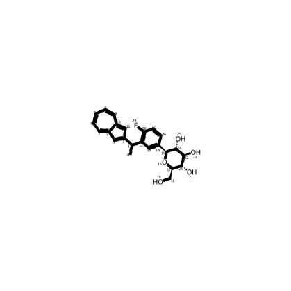 CC(c1cc2cccccc-2c1)c1cc([C@@H]2O[C@H](CO)[C@@H](O)[C@H](O)[C@H]2O)ccc1F